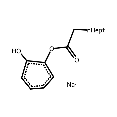 CCCCCCCCC(=O)Oc1ccccc1O.[Na]